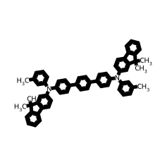 Cc1cccc(N(c2ccc(-c3ccc(-c4ccc(N(c5cccc(C)c5)c5ccc6c(c5)C(C)(C)c5ccccc5-6)cc4)cc3)cc2)c2ccc3c(c2)C(C)(C)c2ccccc2-3)c1